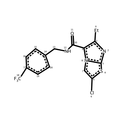 CCc1nc2sc(Cl)cn2c1C(=O)NCc1ccc(C(F)(F)F)cc1